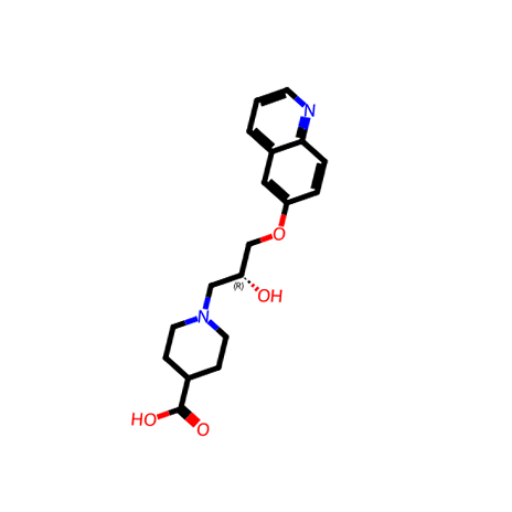 O=C(O)C1CCN(C[C@@H](O)COc2ccc3ncccc3c2)CC1